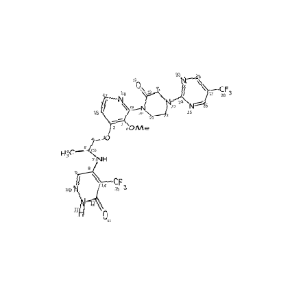 COc1c(OC[C@H](C)Nc2cn[nH]c(=O)c2C(F)(F)F)ccnc1N1CCN(c2ncc(C(F)(F)F)cn2)CC1=O